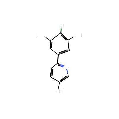 Cc1ccc(-c2cc(C)c(Cl)c(C)c2)nc1